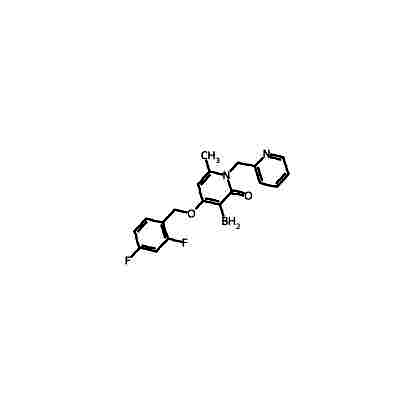 Bc1c(OCc2ccc(F)cc2F)cc(C)n(Cc2ccccn2)c1=O